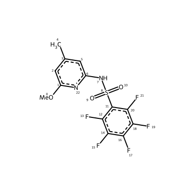 COc1cc(C)cc(NS(=O)(=O)c2c(F)c(F)c(F)c(F)c2F)n1